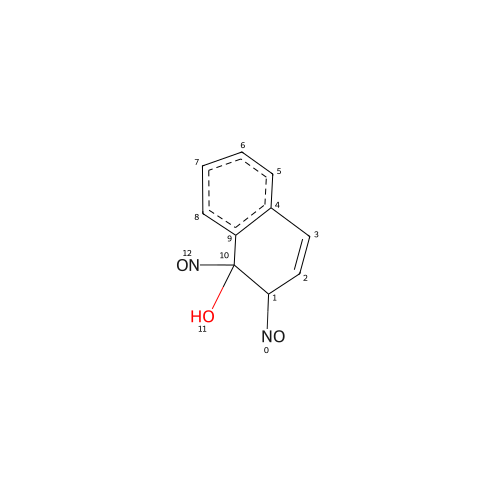 O=NC1C=Cc2ccccc2C1(O)N=O